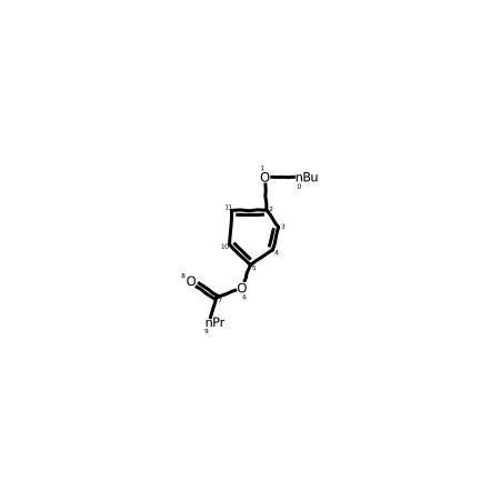 CCCCOc1ccc(OC(=O)CCC)cc1